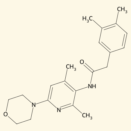 Cc1ccc(CC(=O)Nc2c(C)cc(N3CCOCC3)nc2C)cc1C